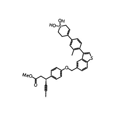 CC#C[C@@H](CC(=O)OC)c1ccc(OCc2ccc3scc(-c4ccc(C5=CCS(O)(O)CC5)cc4C)c3c2)cc1